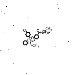 CC[C@@H](c1ccccc1)N(Cc1ccc(C(=O)NC[C@H](C)O)cc1)S(=O)(=O)c1ccc(Cl)cc1